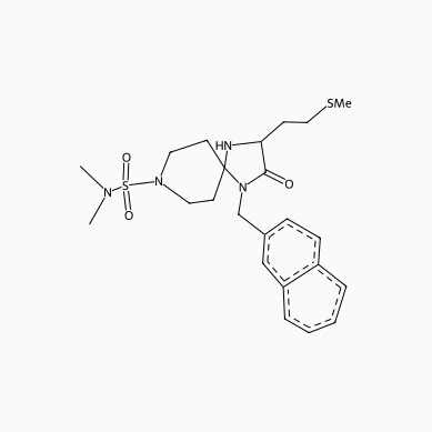 CSCCC1NC2(CCN(S(=O)(=O)N(C)C)CC2)N(Cc2ccc3ccccc3c2)C1=O